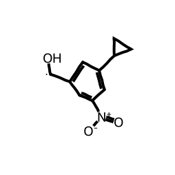 O=[N+]([O-])c1cc([CH]O)cc(C2CC2)c1